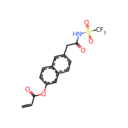 C=CC(=O)Oc1ccc2cc(CC(=O)NS(=O)(=O)C(F)(F)F)ccc2c1